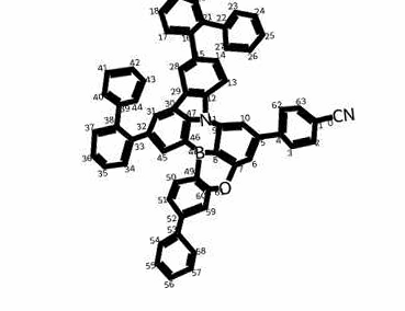 N#Cc1ccc(-c2cc3c4c(c2)-n2c5ccc(-c6ccccc6-c6ccccc6)cc5c5cc(-c6ccccc6-c6ccccc6)cc(c52)B4c2ccc(-c4ccccc4)cc2O3)cc1